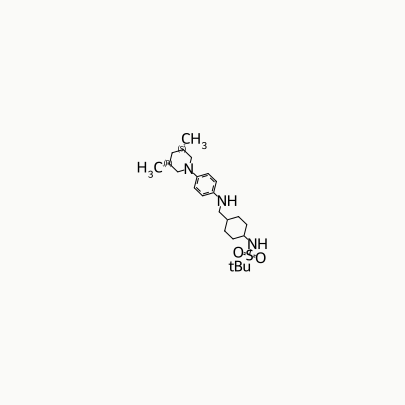 C[C@@H]1C[C@H](C)CN(c2ccc(NCC3CCC(NS(=O)(=O)C(C)(C)C)CC3)cc2)C1